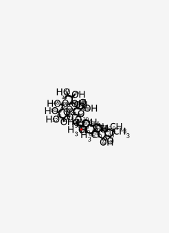 CC1(C)CC[C@]2(C=O)[C@H](O)C[C@]3(C)C(C=C[C@@H]4[C@@]5(C)CC[C@H](OC6OC(C(=O)O)C(O)C(OC7OCC(O)C(O)C7O)C6OC6OC(CO)C(O)C(O)C6O)[C@@](C)(C=O)[C@@H]5CC[C@]43C)[C@@H]2C1